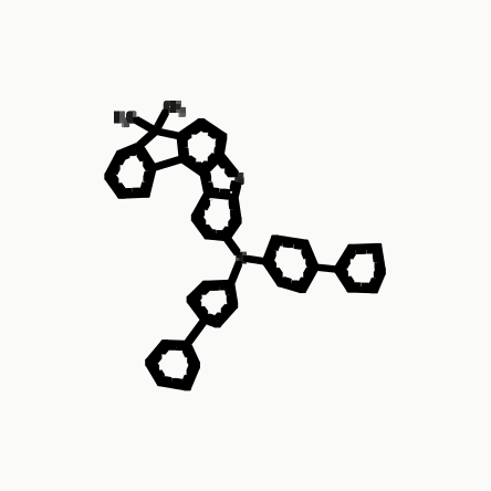 CC1(C)c2ccccc2-c2c1ccc1sc3cc(N(c4ccc(-c5ccccc5)cc4)c4ccc(-c5ccccc5)cc4)ccc3c21